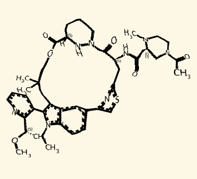 CCn1c(-c2cccnc2[C@H](C)OC)c2c3cc(ccc31)-c1csc(n1)C[C@H](NC(=O)[C@@H]1CN(C(C)=O)CCN1C)C(=O)N1CCC[C@H](N1)C(=O)OCC(C)(C)C2